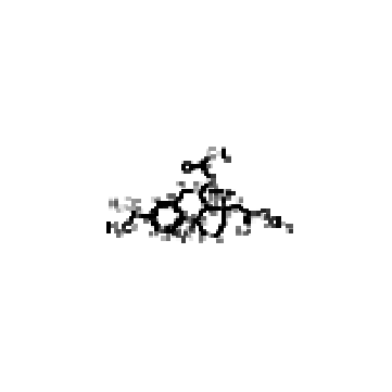 COC(=O)C[C@]1(C)CCC[C@]2(C)c3ccc(C(C)C)cc3CC(OC(C)=O)[C@@H]12